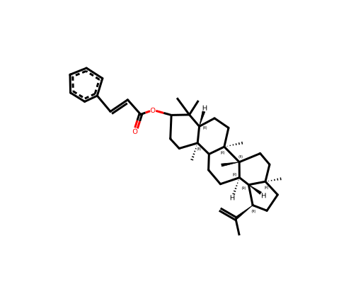 C=C(C)[C@@H]1CC[C@]2(C)CC[C@]3(C)[C@H](CCC4[C@@]5(C)CCC(OC(=O)C=Cc6ccccc6)C(C)(C)[C@@H]5CC[C@]43C)[C@@H]12